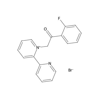 O=C(C[n+]1ccccc1-c1ccccn1)c1ccccc1F.[Br-]